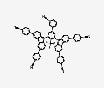 N#Cc1ccc(-c2ccc3c(c2)c2cc(-c4ccc(C#N)cc4)ccc2n3-c2cc(-c3cccc(C#N)c3)cc(-n3c4ccc(-c5ccc(C#N)cc5)cc4c4cc(-c5ccc(C#N)cc5)ccc43)c2C(F)(F)F)cc1